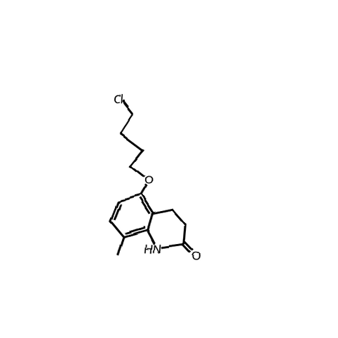 Cc1ccc(OCCCCCl)c2c1NC(=O)CC2